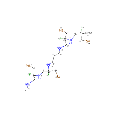 CCNCC(F)(CS)NCC(F)(CS)NCCCNCC(F)(CS)NCC(F)(CS)NC